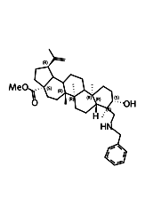 C=C(C)[C@@H]1CC[C@]2(C(=O)OC)CC[C@]3(C)C(CCC4[C@@]5(C)CC[C@H](O)[C@@](C)(CNCc6ccccc6)[C@@H]5CC[C@]43C)C12